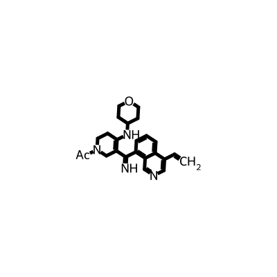 C=Cc1cncc2c(C(=N)C3=C(NC4CCOCC4)CCN(C(C)=O)C3)cccc12